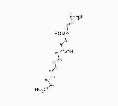 CCCCCCCC=CCC(O)CCC(O)CCCCCCCCC(=O)O